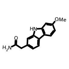 COc1ccc2c(c1)[nH]c1cc(CC(N)=O)ccc12